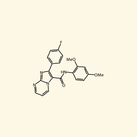 COc1ccc(NC(=O)c2c(-c3ccc(F)cc3)nc3ncccn23)c(OC)c1